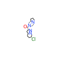 O=C(c1cc2ccc(Cl)cn2n1)N1CCn2cccc2C1